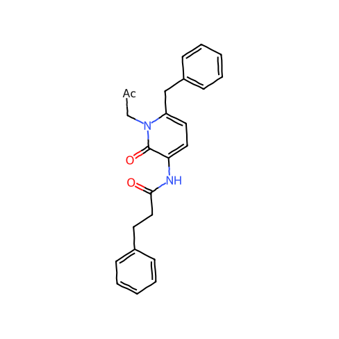 CC(=O)Cn1c(Cc2ccccc2)ccc(NC(=O)CCc2ccccc2)c1=O